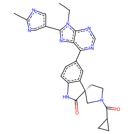 CCn1c(-c2cnc(C)nc2)nc2c(-c3ccc4c(c3)[C@]3(CCN(C(=O)C5CC5)C3)C(=O)N4)ncnc21